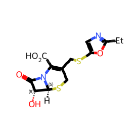 CCc1ncc(SCC2=C(C(=O)O)N3C(=O)[C@@H](O)[C@@H]3SC2)o1